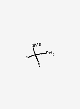 COC(F)(F)P